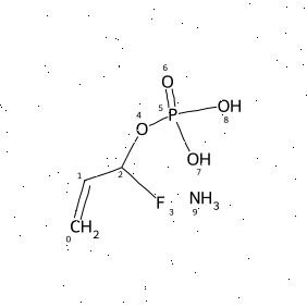 C=CC(F)OP(=O)(O)O.N